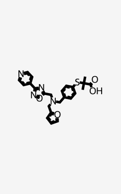 CC(C)(Sc1ccc(CN(Cc2ccco2)Cc2nc(-c3ccncc3)no2)cc1)C(=O)O